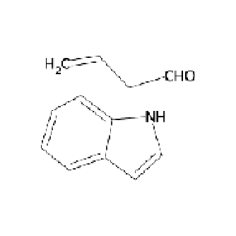 C=CCC=O.c1ccc2[nH]ccc2c1